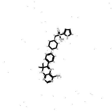 CC1(C)Oc2ncnc(N)c2N=C1c1ccc([C@H]2CC[C@H](CP(=O)(O)c3cccs3)CC2)cc1